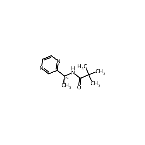 C[C@H](NC(=O)C(C)(C)C)c1cnccn1